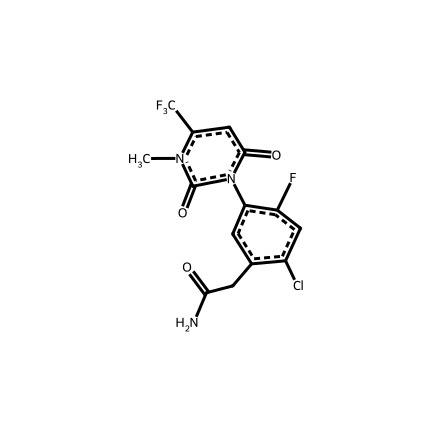 Cn1c(C(F)(F)F)cc(=O)n(-c2cc(CC(N)=O)c(Cl)cc2F)c1=O